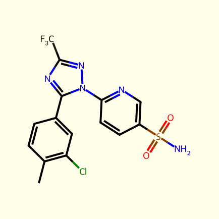 Cc1ccc(-c2nc(C(F)(F)F)nn2-c2ccc(S(N)(=O)=O)cn2)cc1Cl